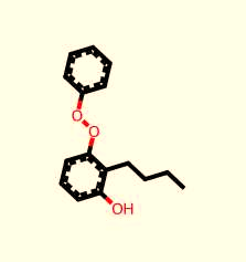 CCCCc1c(O)cccc1OOc1ccccc1